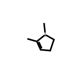 CC1=CCCI1C